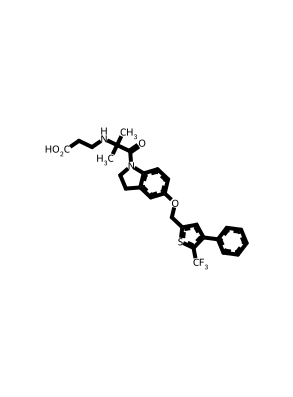 CC(C)(NCCC(=O)O)C(=O)N1CCc2cc(OCc3cc(-c4ccccc4)c(C(F)(F)F)s3)ccc21